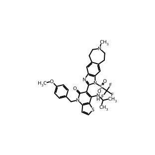 COc1ccc(Cn2c(=O)c(-c3nc4cc5c(cc4n3S(=O)(=O)C(F)(F)F)CCN(C)CC5)c(NC(C)C)c3sccc32)cc1